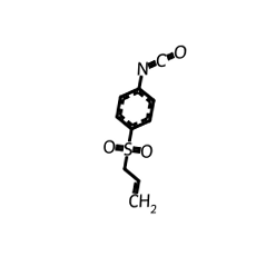 C=CCS(=O)(=O)c1ccc(N=C=O)cc1